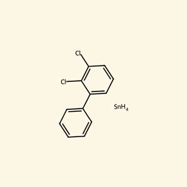 Clc1cccc(-c2ccccc2)c1Cl.[SnH4]